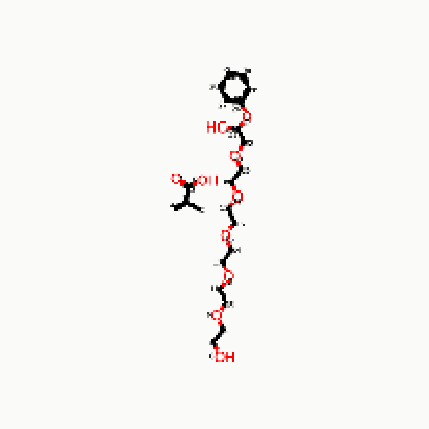 C=C(C)C(=O)O.OCCOCCOCCOCCOCCOCC(O)Oc1ccccc1